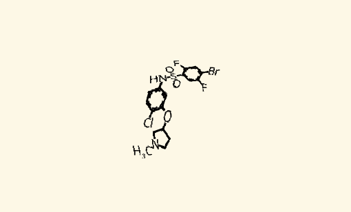 CN1CCC(Oc2cc(NS(=O)(=O)c3cc(F)c(Br)cc3F)ccc2Cl)C1